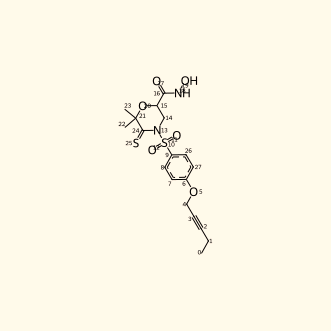 CCC#CCOc1ccc(S(=O)(=O)N2CC(C(=O)NO)OC(C)(C)C2=S)cc1